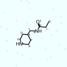 [CH2]CC(=O)NCC1CCNCC1